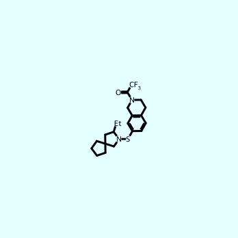 CCC1CC2(CCCC2)CN1Sc1ccc2c(c1)CN(C(=O)C(F)(F)F)CC2